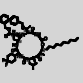 CCCCCCCCCC[C@H]1OC(=O)CNC(=O)[C@H]([C@H](C)OCc2ccccc2)NC(=O)[C@H](CNC(=O)OCc2ccccc2)NC(=O)C(C2CCC(F)(F)CC2)NC(=O)[C@H](CC(C)C)N(C)C(=O)[C@@H]1C